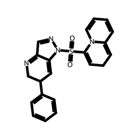 O=S(=O)(C1=CCC=C2C=CC=CN21)n1ncc2c1=CC(c1ccccc1)CN=2